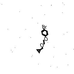 Brc1ccc(OCCOCC2CC2)cc1